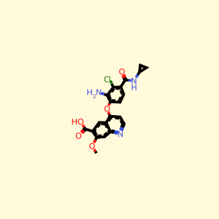 COc1cc2nccc(Oc3ccc(C(=O)NC4CC4)c(Cl)c3N)c2cc1C(=O)O